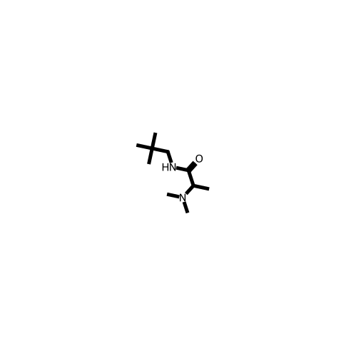 CC(C(=O)NCC(C)(C)C)N(C)C